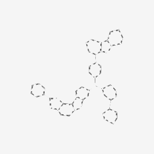 c1ccc(-c2cccc(N(c3ccc(-c4cccc5c4oc4ccccc45)cc3)c3ccc4c(c3)oc3ccc5nc(-c6ccccc6)oc5c34)c2)cc1